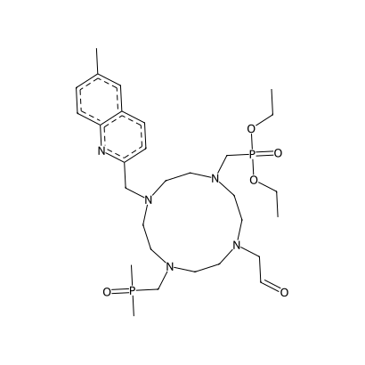 CCOP(=O)(CN1CCN(CC=O)CCN(CP(C)(C)=O)CCN(Cc2ccc3cc(C)ccc3n2)CC1)OCC